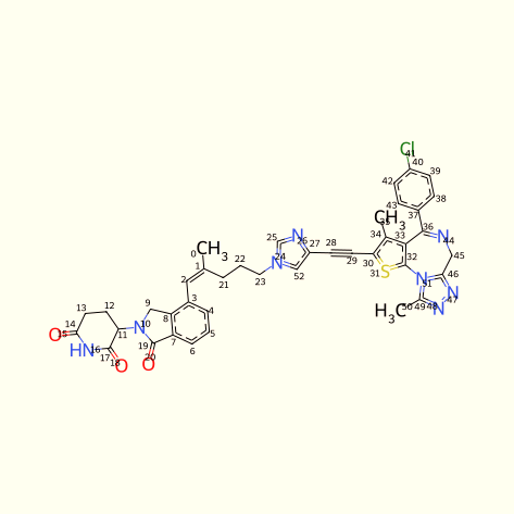 C/C(=C/c1cccc2c1CN(C1CCC(=O)NC1=O)C2=O)CCCn1cnc(C#Cc2sc3c(c2C)C(c2ccc(Cl)cc2)=NCc2nnc(C)n2-3)c1